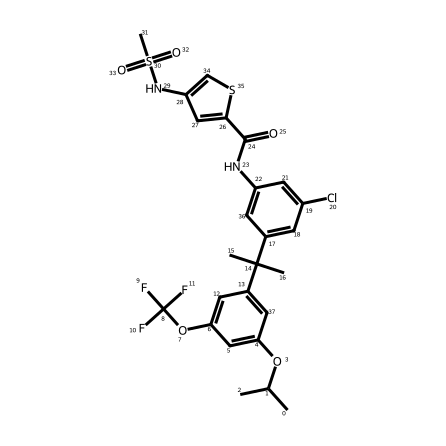 CC(C)Oc1cc(OC(F)(F)F)cc(C(C)(C)c2cc(Cl)cc(NC(=O)c3cc(NS(C)(=O)=O)cs3)c2)c1